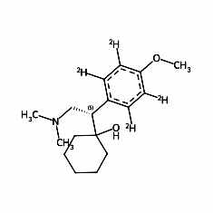 [2H]c1c([2H])c([C@@H](CN(C)C)C2(O)CCCCC2)c([2H])c([2H])c1OC